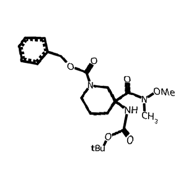 CON(C)C(=O)C1(NC(=O)OC(C)(C)C)CCCN(C(=O)OCc2ccccc2)C1